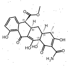 COC(=O)[C@@H]1c2cccc(O)c2C(=O)C2=C(O)[C@]3(O)C(=O)C(C(N)=O)=C(O)[C@@H](C)[C@@H]3C[C@@H]21